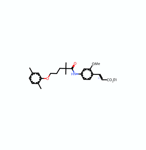 CCOC(=O)/C=C/c1ccc(NC(=O)C(C)(C)CCCOc2cc(C)ccc2C)cc1OC